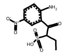 CCC(C(=O)c1cc([N+](=O)[O-])ccc1N)S(=O)(=O)O